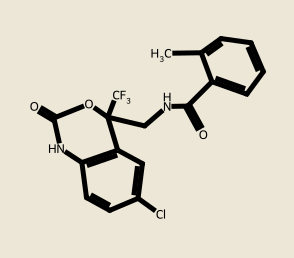 Cc1ccccc1C(=O)NCC1(C(F)(F)F)OC(=O)Nc2ccc(Cl)cc21